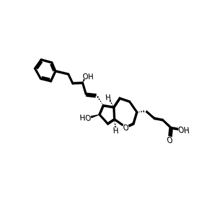 O=C(O)CCC[C@H]1CC[C@@H]2[C@@H](C=C[C@@H](O)CCc3ccccc3)[C@H](O)C[C@@H]2OC1